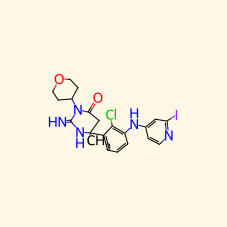 C[C@@]1(c2cccc(Nc3ccnc(I)c3)c2Cl)CC(=O)N(C2CCOCC2)C(=N)N1